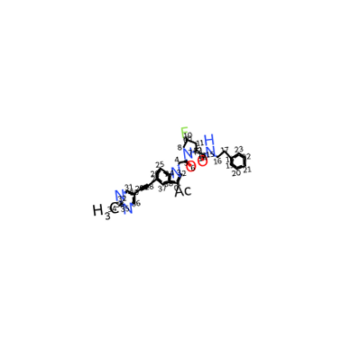 CC(=O)c1cn(CC(=O)N2C[C@H](F)C[C@H]2C(=O)NCCc2ccccc2)c2ccc(C#Cc3cnc(C)nc3)cc12